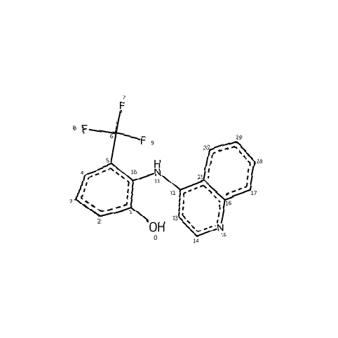 Oc1cccc(C(F)(F)F)c1Nc1ccnc2ccccc12